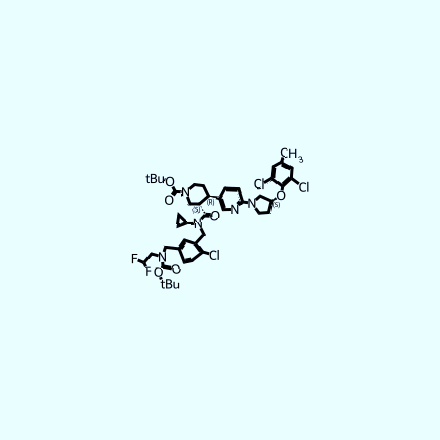 Cc1cc(Cl)c(O[C@H]2CCN(c3ccc([C@@H]4CCN(C(=O)OC(C)(C)C)C[C@H]4C(=O)N(Cc4cc(CN(CC(F)F)C(=O)OC(C)(C)C)ccc4Cl)C4CC4)cn3)C2)c(Cl)c1